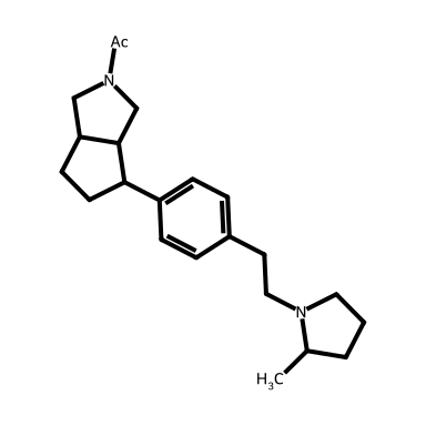 CC(=O)N1CC2CCC(c3ccc(CCN4CCCC4C)cc3)C2C1